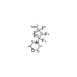 C=CC(F)(F)C(F)C(F)(F)N1CCOCC1